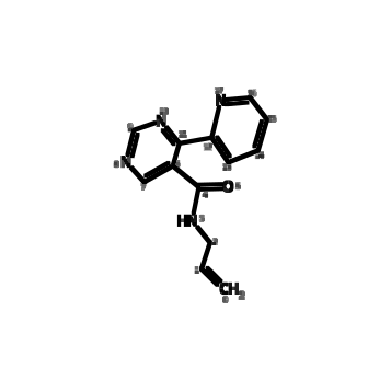 C=CCNC(=O)c1cn[c]nc1-c1ccccn1